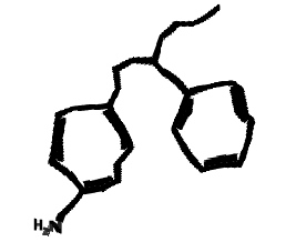 CCC(Cc1ccc(N)cc1)c1ccccc1